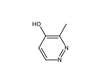 Cc1nnccc1O